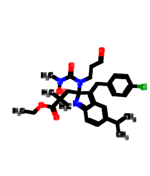 CCOC(=O)C(C)(C)CC1(N(CCC=O)C(=O)N(C)O)N=c2ccc(C(C)C)cc2=C1Cc1ccc(Cl)cc1